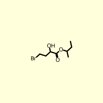 CCC(C)OC(=O)C(O)CCBr